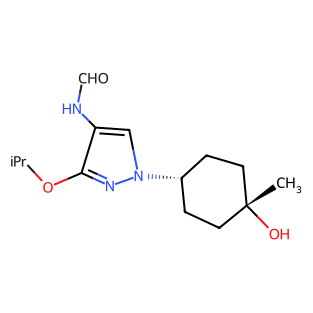 CC(C)Oc1nn([C@H]2CC[C@@](C)(O)CC2)cc1NC=O